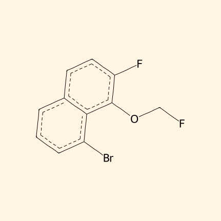 FCOc1c(F)ccc2cccc(Br)c12